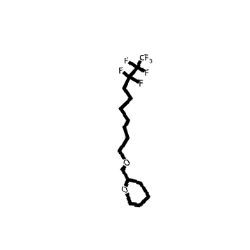 FC(F)(F)C(F)(F)C(F)(F)CCCCCCCOCC1CCCCO1